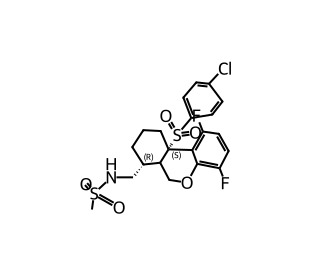 CS(=O)(=O)NC[C@@H]1CCC[C@@]2(S(=O)(=O)c3ccc(Cl)cc3)c3c(F)ccc(F)c3OCC12